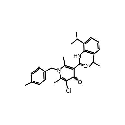 Cc1ccc(Cn2c(C)c(Cl)c(=O)c(C(=O)Nc3c(C(C)C)cccc3C(C)C)c2C)cc1